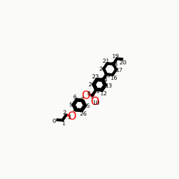 CCCOc1ccc(OC(=O)c2ccc(C3CCC(CC)CC3)cc2)cc1